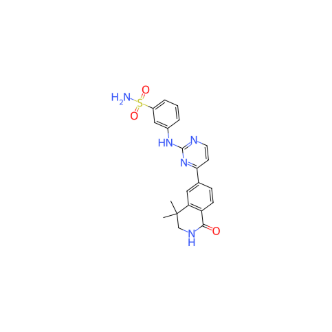 CC1(C)CNC(=O)c2ccc(-c3ccnc(Nc4cccc(S(N)(=O)=O)c4)n3)cc21